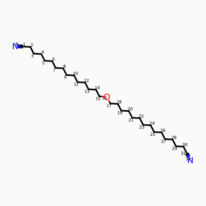 N#CCCCCCCCCCCCCCCOCCCCCCCCCCCCCCC#N